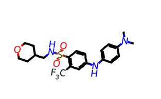 CN(C)c1ccc(Nc2ccc(S(=O)(=O)NCC3CCOCC3)c(C(F)(F)F)c2)cc1